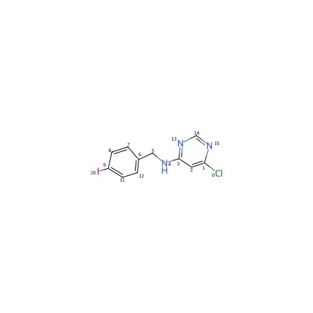 Clc1cc(NCc2ccc(I)cc2)ncn1